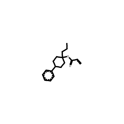 C=CC(=O)OC1(CCC)CCC(c2ccccc2)CC1